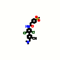 CN(C)Cc1ccc(-c2c(Cl)cc(NC(=O)Cc3ccc(S(C)(=O)=O)cc3)cc2Cl)cc1C#N